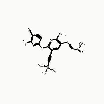 CCN(C)C=Nc1cc(C#C[Si](C)(C)C)c(Oc2ccc(Cl)c(C(F)(F)F)c2)nc1C